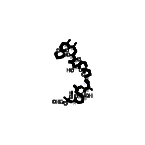 C=C1[C@@H](O)C2O[C@@]3(CCC2O[C@@H]1[C@@H](O)C[C@H](C)C1O[C@@]2(CCCCO2)CC[C@H]1C)CC[C@H](/C=C/[C@@H](C)[C@@H]1CC(C)=C[C@@]2(O[C@H](C[C@@](C)(O)OC=O)CC[C@H]2O)O1)O3